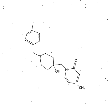 Cc1ccn(CC2(O)CCN(Cc3ccc(F)cc3)CC2)c(=O)c1